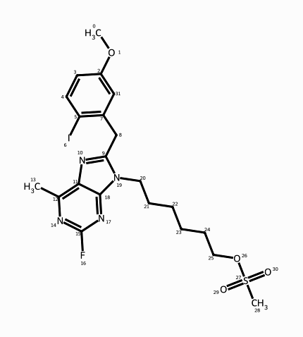 COc1ccc(I)c(Cc2nc3c(C)nc(F)nc3n2CCCCCCOS(C)(=O)=O)c1